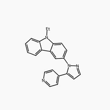 CCn1c2ccccc2c2cc(-n3nccc3-c3ccncc3)ccc21